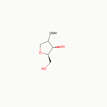 COC1CO[C@H](CO)[C@@H]1O